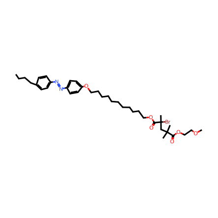 CCCCc1ccc(N=Nc2ccc(OCCCCCCCCCCCOC(=O)C(C)(Br)CC(C)(C)C(=O)OCCOC)cc2)cc1